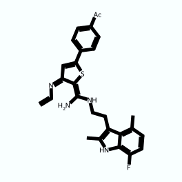 C=C/N=C1/C=C(c2ccc(C(C)=O)cc2)S/C1=C(/N)NCCc1c(C)[nH]c2c(F)ccc(C)c12